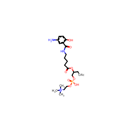 CC(=O)OCC(COP(=O)(O)OCC[N+](C)(C)C)OC(=O)CCCCNC(=O)c1cc(N)ccc1O